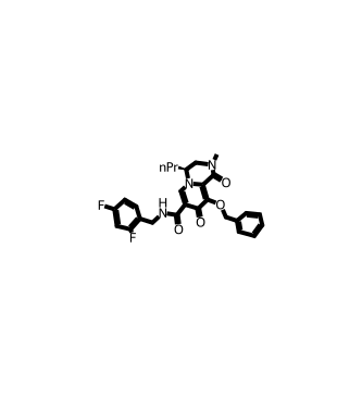 CCC[C@H]1CN(C)C(=O)c2c(OCc3ccccc3)c(=O)c(C(=O)NCc3ccc(F)cc3F)cn21